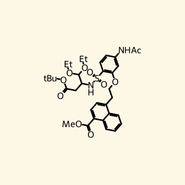 CCOC(OCC)C(CC(=O)OC(C)(C)C)NS(=O)(=O)c1ccc(NC(C)=O)cc1OCCc1ccc(C(=O)OC)c2ccccc12